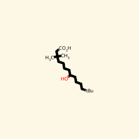 CC(C)(C)CCCCC(O)CCCCC(C)(C)CC(=O)O